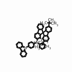 Cc1c(N(c2ccccc2)c2ccc(-n3c4ccccc4c4ccccc43)cc2)ccc2c1C1(c3cc(C(C)(C)C)ccc3-c3ccc(C(C)(C)C)cc31)c1ccccc1-2